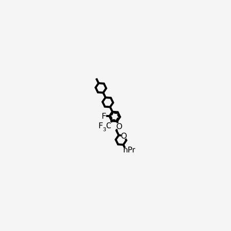 CCCC1CCC(COc2ccc(C3CCC(C4CCC(C)CC4)CC3)c(F)c2C(F)(F)F)OC1